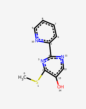 CSc1nc(-c2ccccn2)ncc1O